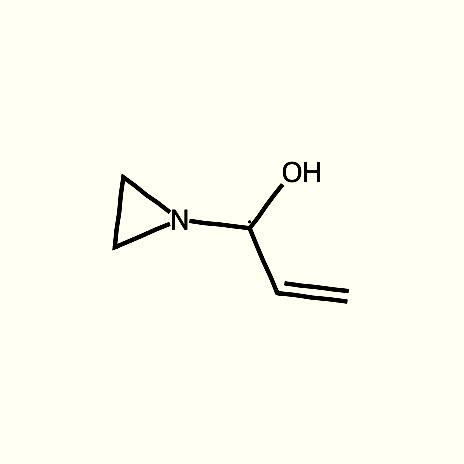 C=C[C](O)N1CC1